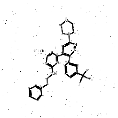 Cl.Cl.FC(F)(F)c1cccc(-c2nnc(N3CCOCC3)cc2-c2ccnc(NCCc3ccccc3)n2)c1